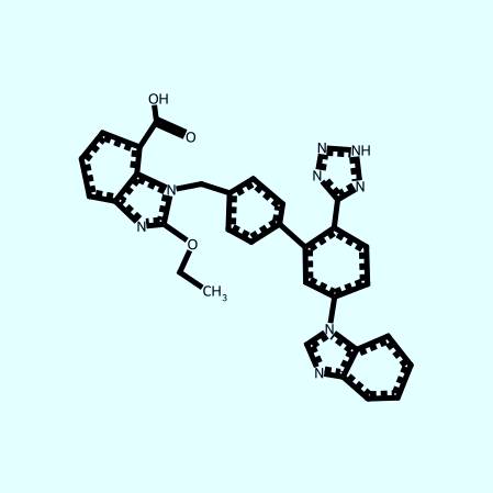 CCOc1nc2cccc(C(=O)O)c2n1Cc1ccc(-c2cc(-n3cnc4ccccc43)ccc2-c2nn[nH]n2)cc1